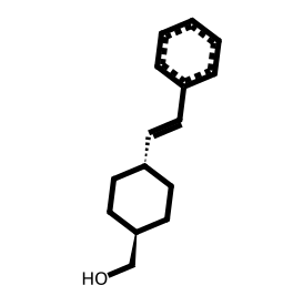 OC[C@H]1CC[C@H](/C=C/c2ccccc2)CC1